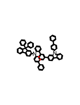 c1ccc(-c2ccc(N(c3ccc4c(c3)C(c3ccccc3)(c3ccccc3)c3ccccc3-4)c3ccccc3-c3cccc(-c4ccc5c6ccccc6n(-c6ccc(-c7ccccc7)cc6)c5c4)c3)cc2)cc1